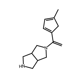 C=C(C1=CC=C(C)C1)N1CC2CNCC2C1